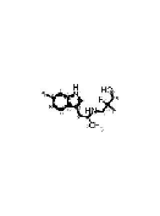 C[C@H](Cc1c[nH]c2cc(I)ccc12)NCC(F)(F)CO